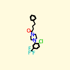 O=C(CCCc1ccccc1)N1CCN(c2cc(C(F)(F)F)ccc2Cl)CC1